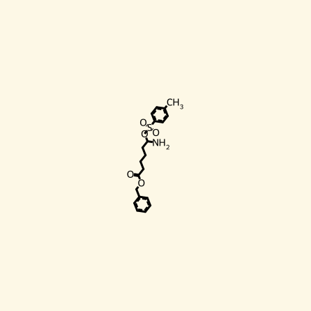 Cc1ccc(S(=O)(=O)OC(N)CCCCC(=O)OCc2ccccc2)cc1